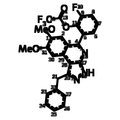 COc1cc2c(-c3cccc(F)c3OC(=O)C(F)(F)F)nc3[nH]nc(Cc4ccccc4)c3c2cc1OC